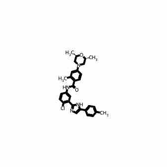 Cc1ccc(-c2cnc(-c3cc(NC(=O)c4ccc(N5C[C@@H](C)O[C@@H](C)C5)cc4C)ccc3Cl)[nH]2)cc1